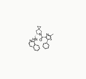 Cc1nc(C(=O)N2CC3(CC3)C[C@H]2CNc2nccc3ccccc23)c(-c2ccccc2)s1